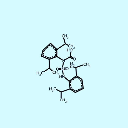 CC(C)c1cccc(C(C)C)c1NS(=O)(=O)N(C(=O)O)c1c(C(C)C)cccc1C(C)C